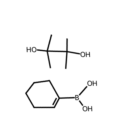 CC(C)(O)C(C)(C)O.OB(O)C1=CCCCC1